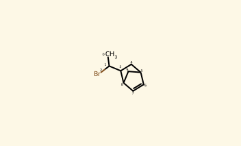 CC(Br)C1CC2C=CC1C2